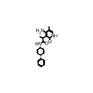 Cc1c[nH]c(=O)c(C(C)C(=O)N[C@H]2CC[C@@H](c3ccccc3)CC2)c1N